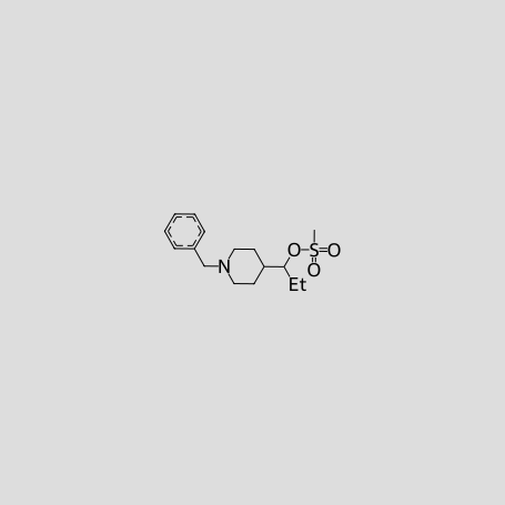 CCC(OS(C)(=O)=O)C1CCN(Cc2ccccc2)CC1